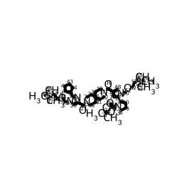 CC(C)(C)OC(=O)N1CCC[C@@H]1c1cc(C(=O)N2CCC3(CC2)CCN(C(=O)c2cn(COCC[Si](C)(C)C)c(C4CCCC4)n2)CC3)cn1COCC[Si](C)(C)C